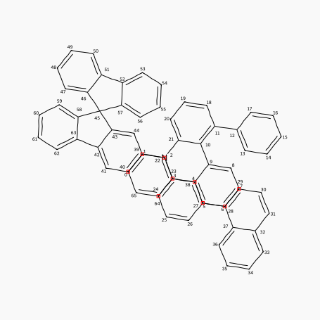 c1ccc(-c2ccccc2-c2c(-c3ccccc3)cccc2N(c2cccc(-c3cccc4ccccc34)c2)c2ccc3c(c2)C2(c4ccccc4-c4ccccc42)c2ccccc2-3)cc1